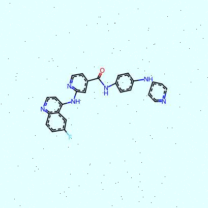 O=C(Nc1ccc(Nc2ccncc2)cc1)c1ccnc(Nc2ccnc3ccc(F)cc23)c1